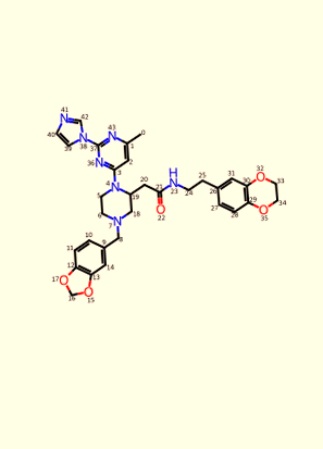 Cc1cc(N2CCN(Cc3ccc4c(c3)OCO4)CC2CC(=O)NCCc2ccc3c(c2)OCCO3)nc(-n2ccnc2)n1